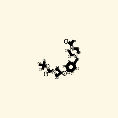 CC(=O)N1CCN(Cc2ccc(OC3CN(C(=O)OC(C)(C)C)C3)cc2)CC1